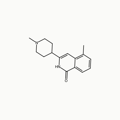 Cc1cccc2c(=O)[nH]c(C3CCN(C)CC3)cc12